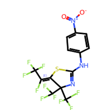 O=[N+]([O-])c1ccc(NC2=NC(C(F)(F)F)(C(F)(F)F)/C(=C(\F)C(F)(F)F)S2)cc1